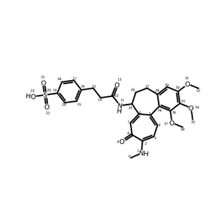 CNc1ccc2c(cc1=O)C(NC(=O)CCc1ccc(S(=O)(=O)O)cc1)CCc1cc(OC)c(OC)c(OC)c1-2